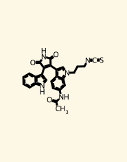 CC(=O)Nc1ccc2c(C3=C(c4c[nH]c5ccccc45)C(=O)NC3=O)cn(CCCN=C=S)c2c1